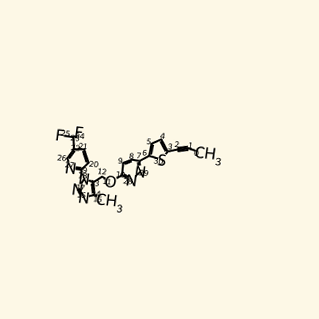 CC#Cc1ccc(-c2ccc(OCc3c(C)nnn3-c3ccc(C(F)F)cn3)nn2)s1